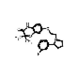 CC1(C)Oc2cc(OCCN3CCCC3c3cccc(F)c3)ccc2NC1=O